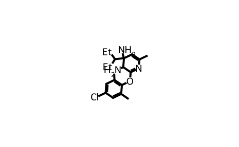 CCC(CC)C1(N)C=C(C)N=C(Oc2c(C)cc(Cl)cc2C)C1N